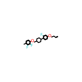 C=CCCOc1ccc(C2CCC(COc3ccc(C)c(F)c3F)CC2)c(F)c1